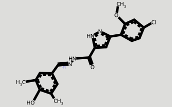 COc1cc(Cl)ccc1-c1cc(C(=O)N/N=C/c2cc(C)c(O)c(C)c2)[nH]n1